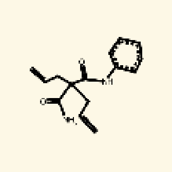 C=CCC(CC=C)(C(N)=O)C(=O)Nc1ccccc1